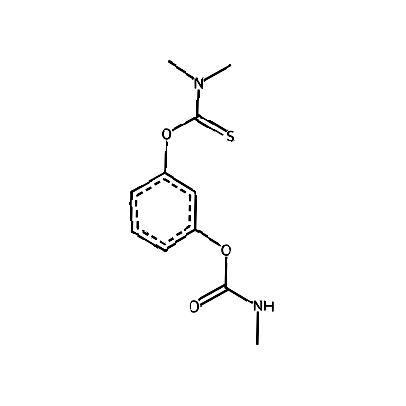 CNC(=O)Oc1cccc(OC(=S)N(C)C)c1